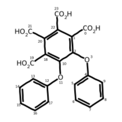 O=C(O)c1c(Oc2ccccc2)c(Oc2ccccc2)c(C(=O)O)c(C(=O)O)c1C(=O)O